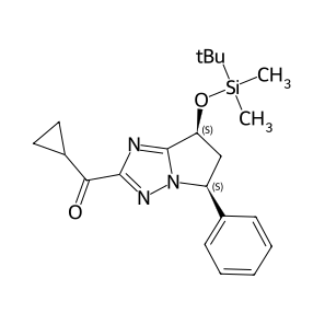 CC(C)(C)[Si](C)(C)O[C@H]1C[C@@H](c2ccccc2)n2nc(C(=O)C3CC3)nc21